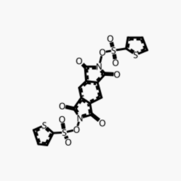 O=c1c2cc3c(=O)n(OS(=O)(=O)c4cccs4)c(=O)c3cc2c(=O)n1OS(=O)(=O)c1cccs1